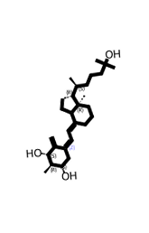 C=C1/C(=C\C=C2CCC[C@@]3(C)C2CC[C@@H]3[C@@H](C)CCCC(C)(C)O)C[C@H](O)[C@@H](C)[C@@H]1O